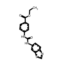 CCOC(=O)c1ccc(NC(=O)Nc2ccc3ncsc3c2)cc1